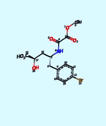 CC(C)(C)OC(=O)C(=O)N[C@H](Cc1ccc(Br)cc1)C[C@@H](O)C(=O)O